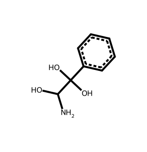 NC(O)C(O)(O)c1ccccc1